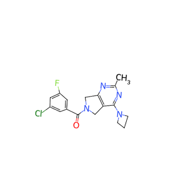 Cc1nc2c(c(N3CCC3)n1)CN(C(=O)c1cc(F)cc(Cl)c1)C2